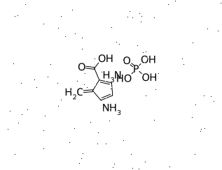 C=C1C=CC=C1C(=O)O.N.N.O=P(O)(O)O